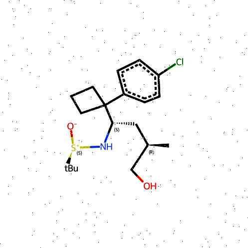 C[C@@H](CO)C[C@H](N[S@+]([O-])C(C)(C)C)C1(c2ccc(Cl)cc2)CCC1